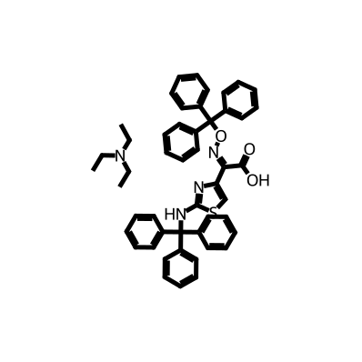 CCN(CC)CC.O=C(O)C(=NOC(c1ccccc1)(c1ccccc1)c1ccccc1)c1csc(NC(c2ccccc2)(c2ccccc2)c2ccccc2)n1